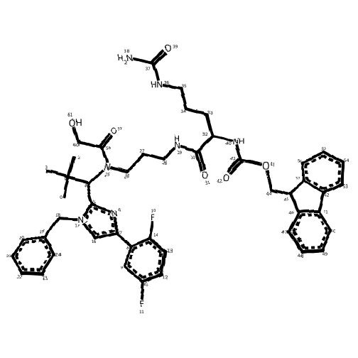 CC(C)(C)C(c1nc(-c2cc(F)ccc2F)cn1Cc1ccccc1)N(CCCNC(=O)C(CCCNC(N)=O)NC(=O)OCC1c2ccccc2-c2ccccc21)C(=O)CO